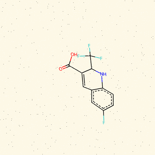 O=C(O)C1=Cc2cc(F)ccc2NC1C(F)(F)F